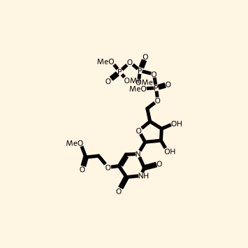 COC(=O)COc1cn(C2OC(COP(=O)(OC)OP(=O)(OC)OP(=O)(OC)OC)C(O)C2O)c(=O)[nH]c1=O